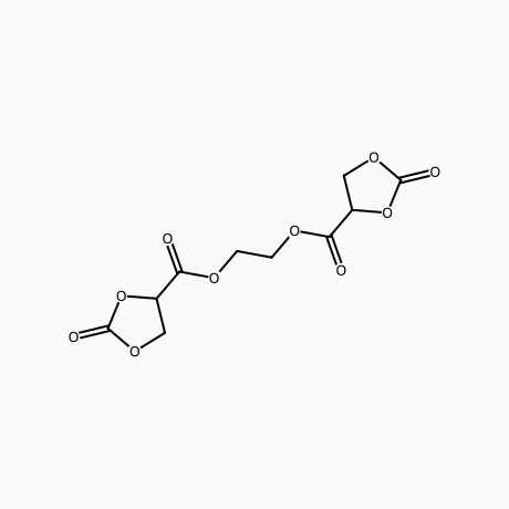 O=C1OCC(C(=O)OCCOC(=O)C2COC(=O)O2)O1